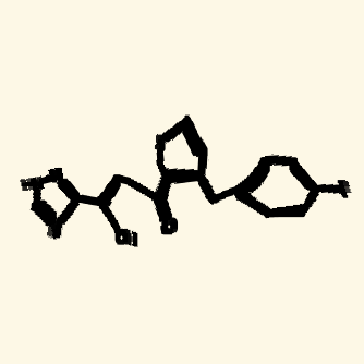 O=C(C=C(O)c1nc[nH]n1)c1sccc1Cc1ccc(F)cc1